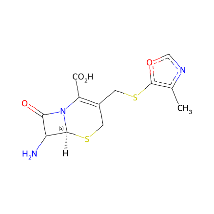 Cc1ncoc1SCC1=C(C(=O)O)N2C(=O)C(N)[C@@H]2SC1